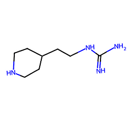 N=C(N)NCCC1CCNCC1